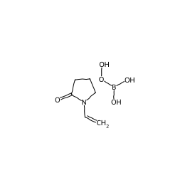 C=CN1CCCC1=O.OOB(O)O